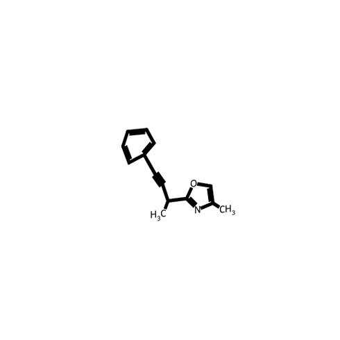 Cc1coc(C(C)C#Cc2ccccc2)n1